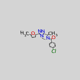 Cc1ccc(-c2nnc3n2CCN(C(=O)c2ccc(Cl)cc2)[C@@H]3C)o1